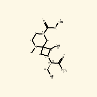 CN1CCN(C(=O)OC(C)(C)C)CC12CN([C@@H](CO)C(N)=O)C2O